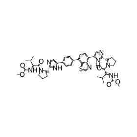 COC(=O)N[C@H](C(=O)N1CCC[C@H]1c1ncc(-c2ccc(-c3ccc(-c4cnc([C@@H]5CCCN5C(=O)[C@@H](NC(=O)OC)C(C)C)[nH]4)c4ncsc34)cc2)[nH]1)C(C)C